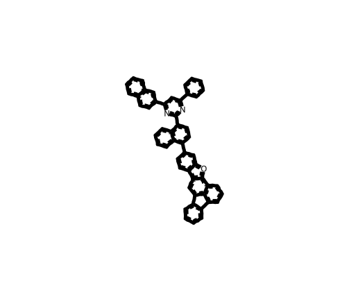 c1ccc(-c2cc(-c3ccc4ccccc4c3)nc(-c3ccc(-c4ccc5c(c4)oc4c6cccc7c6c(cc54)-c4ccccc4-7)c4ccccc34)n2)cc1